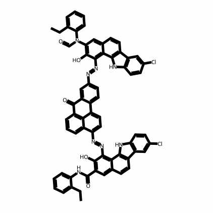 CCc1ccccc1NC(=O)c1cc2ccc3c4cc(Cl)ccc4[nH]c3c2c(N=Nc2ccc3c4c(cccc24)C(=O)c2cc(N=Nc4c(O)c(N(C=O)c5ccccc5CC)cc5ccc6c7cc(Cl)ccc7[nH]c6c45)ccc2-3)c1O